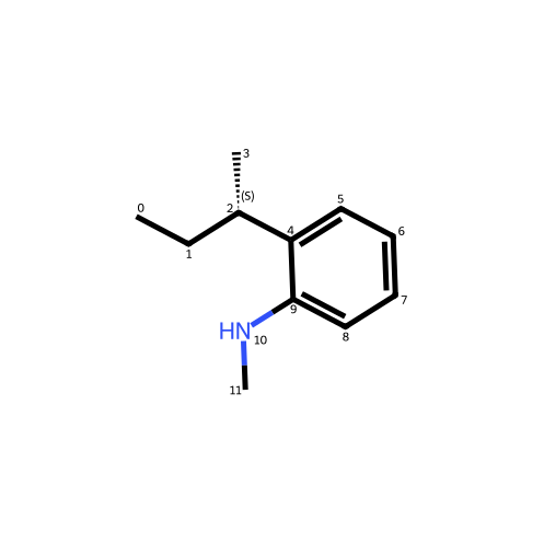 CC[C@H](C)c1ccccc1NC